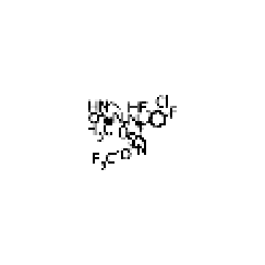 C[C@@H]1C(=O)NCCN1C(=O)N[C@@H](c1cnc(OCC(F)(F)F)s1)c1ccc(F)c(Cl)c1F